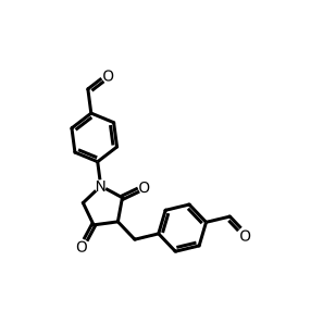 O=Cc1ccc(CC2C(=O)CN(c3ccc(C=O)cc3)C2=O)cc1